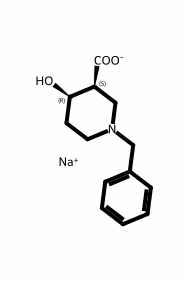 O=C([O-])[C@H]1CN(Cc2ccccc2)CC[C@H]1O.[Na+]